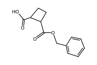 O=C(O)C1CCC1C(=O)OCc1ccccc1